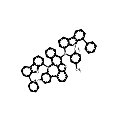 Cc1ccc(C)c(N(c2cccc3c2oc2c(-c4ccccc4)cccc23)c2c3ccccc3c3c4c2oc2cccc(c5ccc(C)cc5n3-c3cccc5c3oc3c(-c6ccccc6)cccc35)c24)c1